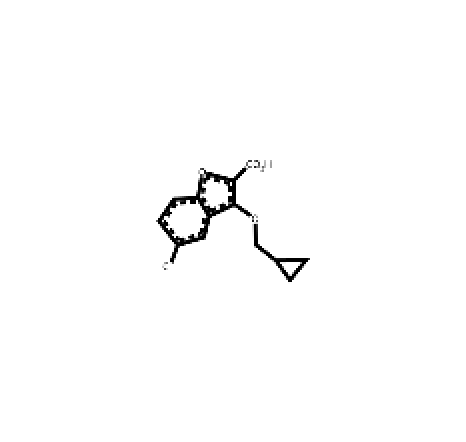 O=C(O)c1oc2ccc(Cl)cc2c1OCC1CC1